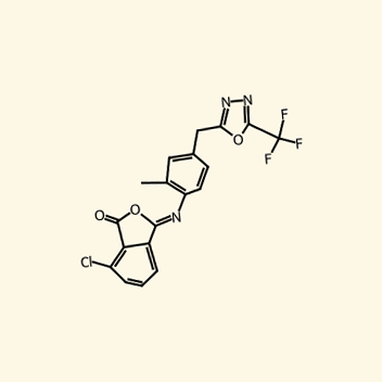 Cc1cc(Cc2nnc(C(F)(F)F)o2)ccc1N=C1OC(=O)c2c(Cl)cccc21